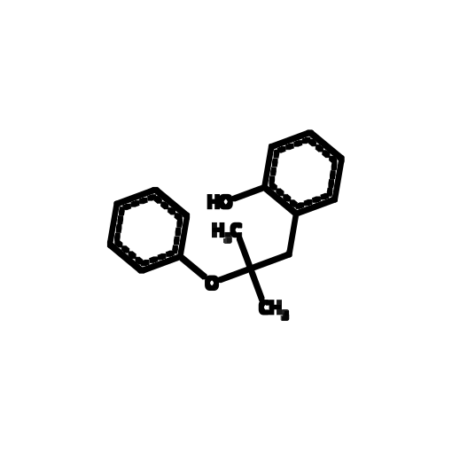 CC(C)(Cc1ccccc1O)Oc1ccccc1